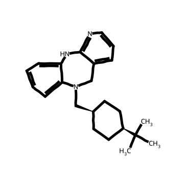 CC(C)(C)[C@H]1CC[C@@H](CN2Cc3cccnc3Nc3ccccc32)CC1